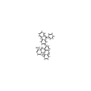 CC12C=CC=CC1P1(=O)c3ccccc3Oc3ccc(-c4ccc5c6ccccc6n(-c6ccccc6)c5c4)c(c31)O2